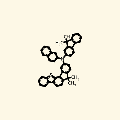 CC1(C)c2ccccc2-c2ccc(N(c3ccc4c(c3)-c3c(ccc5c3sc3ccccc35)C4(C)C)c3ccc4ccccc4c3)cc21